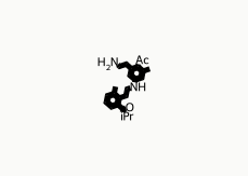 CC(=O)c1c(C)cc(NCCc2c(C)cccc2C(=O)C(C)C)cc1CCN